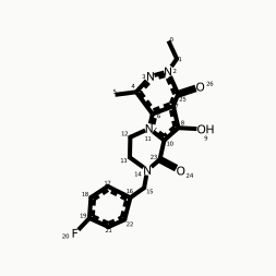 CCn1nc(C)c2c(c(O)c3n2CCN(Cc2ccc(F)cc2)C3=O)c1=O